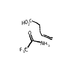 C=CCC(=O)O.NC(=O)C(F)(F)F